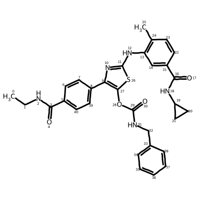 CCNC(=O)c1ccc(-c2nc(Nc3cc(C(=O)NC4CC4)ccc3C)sc2OC(=O)NCc2ccccc2)cc1